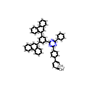 C#C/C=C\C(=C/C)c1ccc(-c2nc(-c3ccccc3)nc(-c3cc(-c4cc5ccccc5c5ccccc45)cc(-c4cc5ccccc5c5ccccc45)c3)n2)cc1